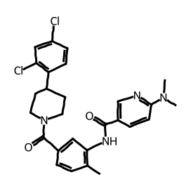 Cc1ccc(C(=O)N2CCC(c3ccc(Cl)cc3Cl)CC2)cc1NC(=O)c1ccc(N(C)C)nc1